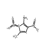 CC1=CC([N+](=O)[O-])=C(N)S1=S(=O)=O